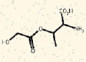 CC(OC(=O)CO)C(N)C(=O)O